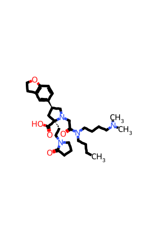 CCCCN(CCCCN(C)C)C(=O)CN1C[C@H](c2ccc3c(c2)CCO3)C[C@]1(CCN1CCCC1=O)C(=O)O